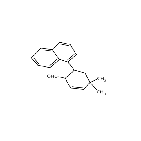 CC1(C)C=CC(C=O)C(c2cccc3ccccc23)C1